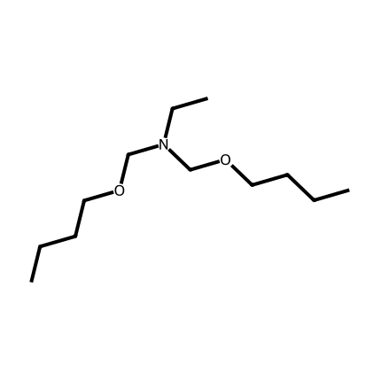 CCCCOCN(CC)COCCCC